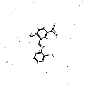 Cc1ccccc1/N=C/c1cc([N+](=O)[O-])ccc1O